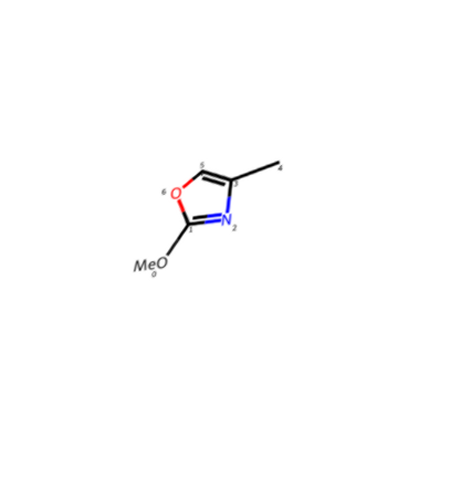 COc1nc(C)[c]o1